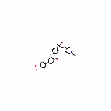 COc1cc(-c2ccc3c(c2)Nc2ccc(C(C)(CCc4ccc(C(F)(F)F)nc4)C(N)=O)cc2NC3=O)ccc1[N+](=O)[O-]